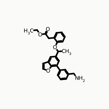 CCOC(=O)Cc1ccccc1OC(C)c1cc(-c2cccc(CN)c2)c2occc2c1